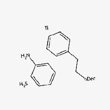 CCCCCCCCCCCCc1ccccc1.Nc1ccccc1.S.[Ti]